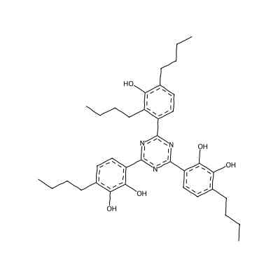 CCCCc1ccc(-c2nc(-c3ccc(CCCC)c(O)c3O)nc(-c3ccc(CCCC)c(O)c3CCCC)n2)c(O)c1O